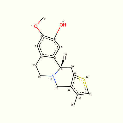 COc1cc2c(cc1O)[C@@H]1Cc3scc(C)c3CN1CC2